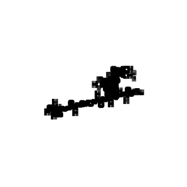 C=CCOP(=O)(OCC=C)Oc1ccc(CC(NC(=O)C(CCCCNC(=O)OC(C)(C)C)NC(=O)CCC(=O)NCCOCCOCCNC(=O)CCCCC2SC[C@H]3NC(=O)N[C@@H]23)C(=O)NC(CC(C)C)C(N)=O)cc1CF